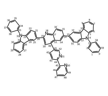 c1ccc(-n2c3ccccc3c3cc(-c4ccc5nc(-c6ccc7c(c6)c6ccccc6n7-c6ccccc6)cc(-c6ccc(-c7ccccn7)nc6)c5c4)ccc32)cc1